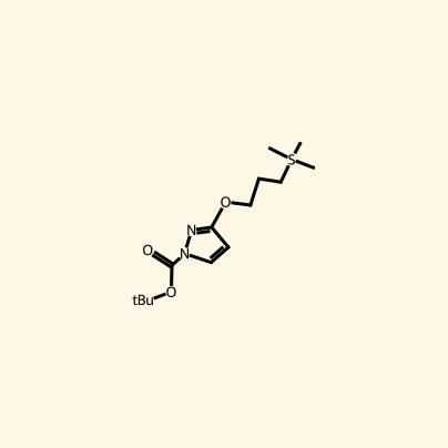 CC(C)(C)OC(=O)n1ccc(OCCCS(C)(C)C)n1